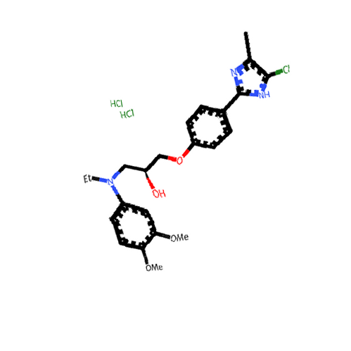 CCN(C[C@H](O)COc1ccc(-c2nc(C)c(Cl)[nH]2)cc1)c1ccc(OC)c(OC)c1.Cl.Cl